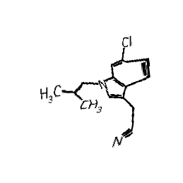 C[C](C)Cn1cc(CC#N)c2ccc(Cl)cc21